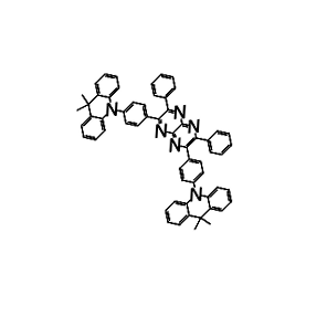 CC1(C)c2ccccc2N(c2ccc(-c3nc4nc(-c5ccc(N6c7ccccc7C(C)(C)c7ccccc76)cc5)c(-c5ccccc5)nc4nc3-c3ccccc3)cc2)c2ccccc21